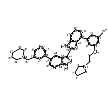 Fc1cc(OCCN2CCCC2)cc(-c2nccc3[nH]c(-c4n[nH]c5ncc(-c6cncc(CN7CCCCC7)c6)cc45)nc23)c1